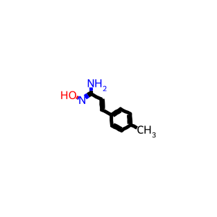 Cc1ccc(C=CC(N)=NO)cc1